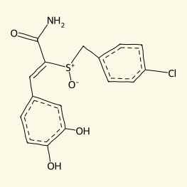 NC(=O)C(=Cc1ccc(O)c(O)c1)[S+]([O-])Cc1ccc(Cl)cc1